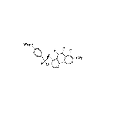 CCCCCc1ccc(C(F)(F)Oc2ccc3c(c2F)C(F)C(F)c2c-3ccc(CCC)c2F)cc1